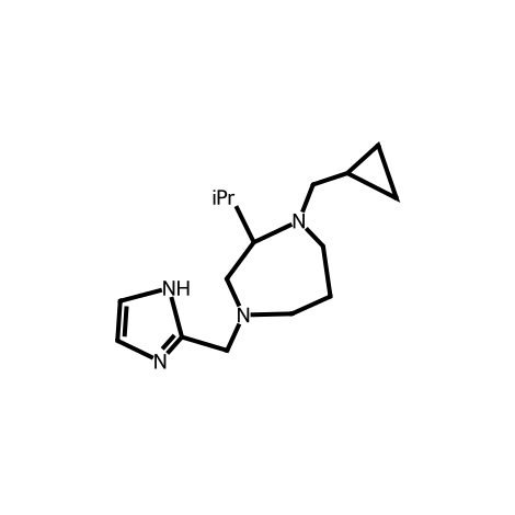 CC(C)C1CN(Cc2ncc[nH]2)CCCN1CC1CC1